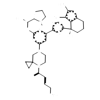 COC/C=C/C(=O)N1CCN(c2cc(-c3noc([C@@]4(C)CCCc5sc(N)c(C#N)c54)n3)nc(O[C@@H](C)[C@@H]3CCCN3C)n2)CC12CC2